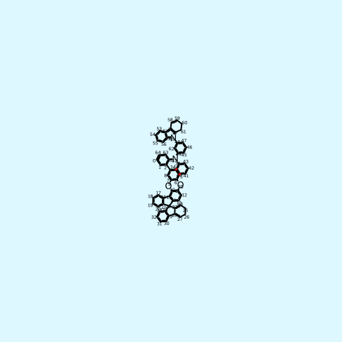 c1cc(-c2ccc3c(c2)Oc2c(ccc4c2-c2ccccc2C42C4=CCCC=C4c4ccccc42)O3)c(N(c2ccccc2)c2cccc(-n3c4c(c5ccccc53)C=CCC4)c2)cc#1